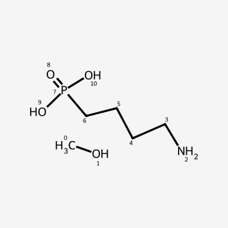 CO.NCCCCP(=O)(O)O